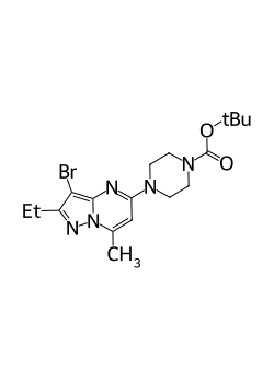 CCc1nn2c(C)cc(N3CCN(C(=O)OC(C)(C)C)CC3)nc2c1Br